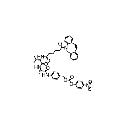 CC(C)[C@H](NC(=O)CCCCC(=O)N1Cc2ccccc2C#Cc2ccccc21)C(=O)N[C@@H](C)C(=O)Nc1ccc(COC(=O)Oc2ccc([N+](=O)[O-])cc2)cc1